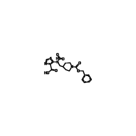 O=C(O)c1ncsc1N(CC1CCN(C(=O)OCc2ccccc2)CC1)[SH](=O)=O